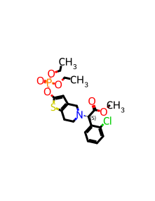 CCOP(=O)(OCC)Oc1cc2c(s1)CCN([C@H](C(=O)OC)c1ccccc1Cl)C2